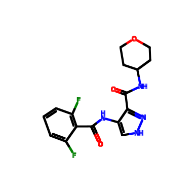 O=C(NC1CCOCC1)c1n[nH]cc1NC(=O)c1c(F)cccc1F